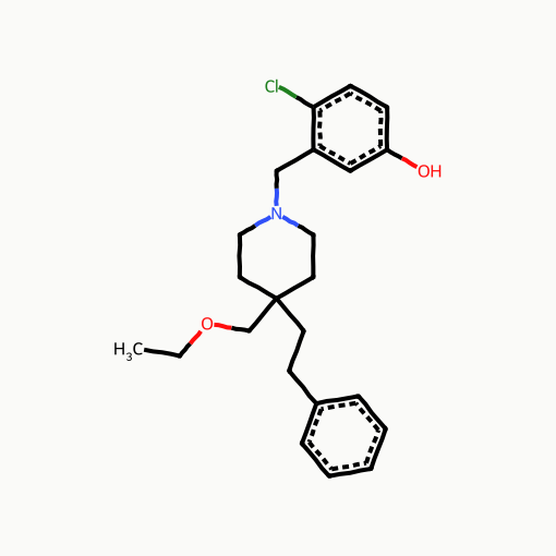 CCOCC1(CCc2ccccc2)CCN(Cc2cc(O)ccc2Cl)CC1